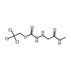 CNC(=O)CNNC(=O)OCC(Cl)(Cl)Cl